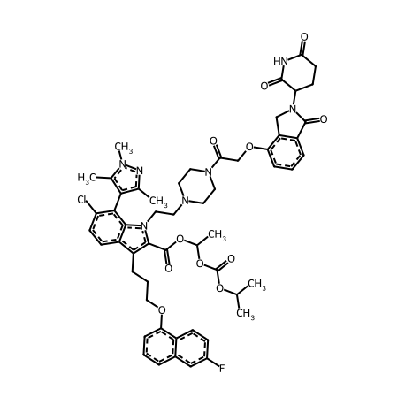 Cc1nn(C)c(C)c1-c1c(Cl)ccc2c(CCCOc3cccc4cc(F)ccc34)c(C(=O)OC(C)OC(=O)OC(C)C)n(CCN3CCN(C(=O)COc4cccc5c4CN(C4CCC(=O)NC4=O)C5=O)CC3)c12